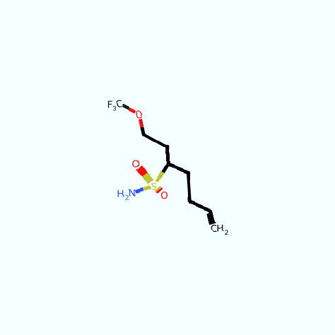 C=CCCC(CCOC(F)(F)F)S(N)(=O)=O